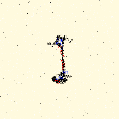 COc1cccc(OC)c1-c1cc(C(=O)NC2(C(=O)O)C3CC4CC(C3)CC2C4)nn1-c1ccc(NCCOCCOCCOCCOCCOCCNC(=O)CN2CCN(CC(=O)O)CCN(CC(=O)O)CCN(CC(=O)O)CC2)cc1C(C)C